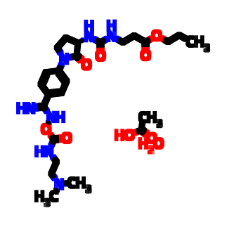 CC(=O)O.CCCOC(=O)CCNC(=O)N[C@H]1CCN(c2ccc(C(=N)NOC(=O)NCCN(C)C)cc2)C1=O.O